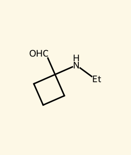 CCNC1(C=O)CCC1